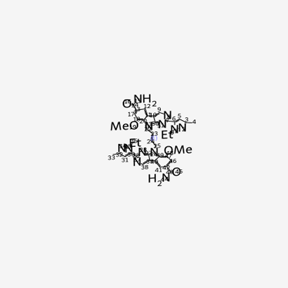 CCn1nc(C)cc1-c1ncc2c3cc(C(N)=O)cc(OC)c3n(C/C=C/Cn3c4nc(-c5cc(C)nn5CC)ncc4c4cc(C(N)=O)cc(OC)c43)c2n1